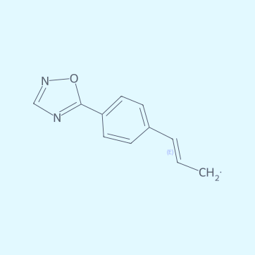 [CH2]/C=C/c1ccc(-c2ncno2)cc1